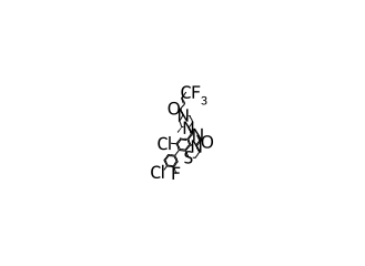 C[C@H]1CN(C(=O)/C=C/C(F)(F)F)CCN1c1nc(=O)n2c3c(c(-c4ccc(Cl)c(F)c4)c(Cl)cc13)SCC2